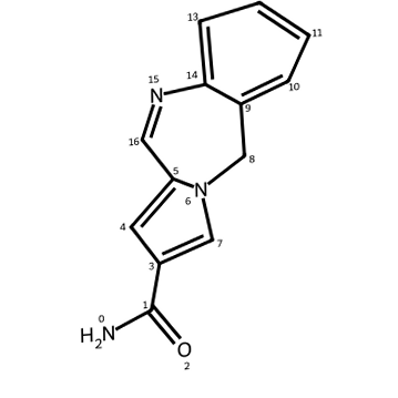 NC(=O)c1cc2n(c1)Cc1ccccc1N=C2